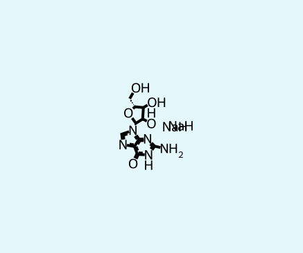 Nc1nc2c(ncn2[C@@H]2O[C@H](CO)C(O)C2O)c(=O)[nH]1.[NaH].[NaH]